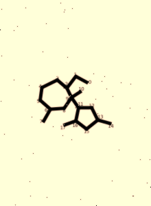 CC[C]1CCCC(C)CC1(C)[C]1CC(C)CC1C